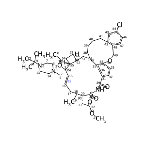 CCO[C@]1(CN2CCN(C(C)(C)C)CC2)/C=C/CC(C)[C@@H](CCOC)S(=O)(=O)NC(=O)c2ccc3c(c2)N(CCCCc2cc(Cl)ccc2CO3)C[C@@H]2CC[C@H]21